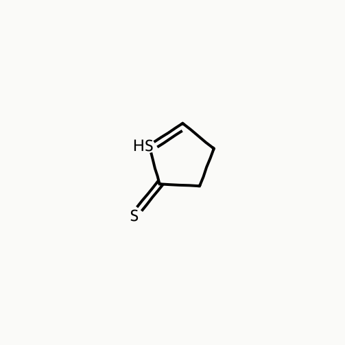 S=C1CCC=[SH]1